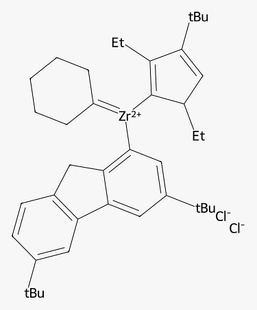 CCC1=[C]([Zr+2](=[C]2CCCCC2)[c]2cc(C(C)(C)C)cc3c2Cc2ccc(C(C)(C)C)cc2-3)C(CC)C=C1C(C)(C)C.[Cl-].[Cl-]